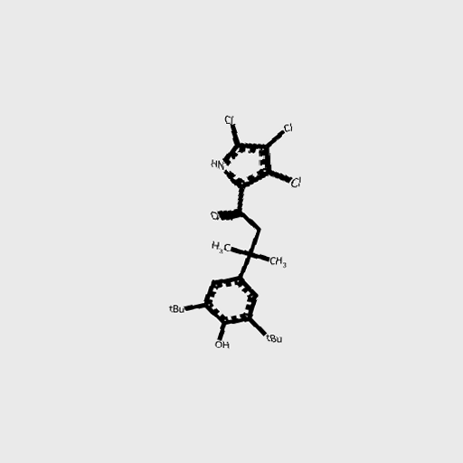 CC(C)(C)c1cc(C(C)(C)CC(=O)c2[nH]c(Cl)c(Cl)c2Cl)cc(C(C)(C)C)c1O